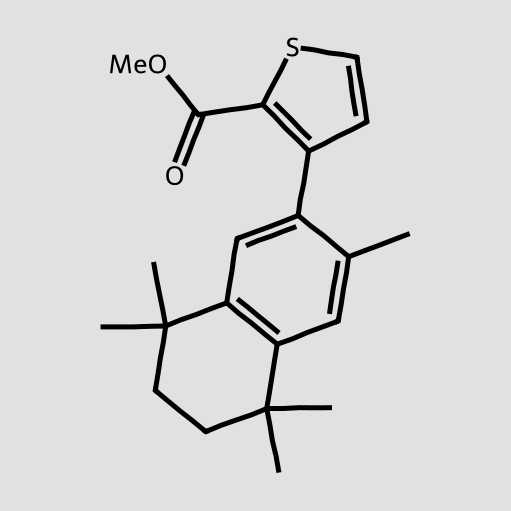 COC(=O)c1sccc1-c1cc2c(cc1C)C(C)(C)CCC2(C)C